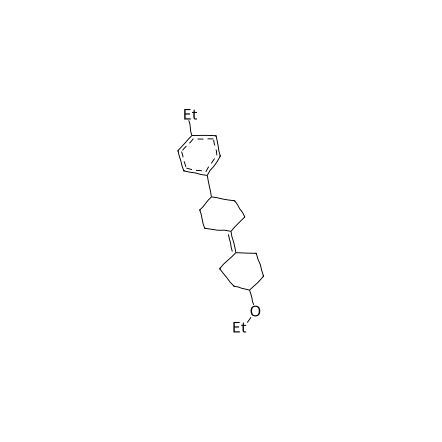 CCOC1CCC(=C2CCC(c3ccc(CC)cc3)CC2)CC1